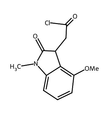 COc1cccc2c1C(CC(=O)Cl)C(=O)N2C